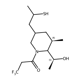 CC(S)CC1C[C@@H](C)C([C@H](C)O)N(C(=O)CC(F)(F)F)C1